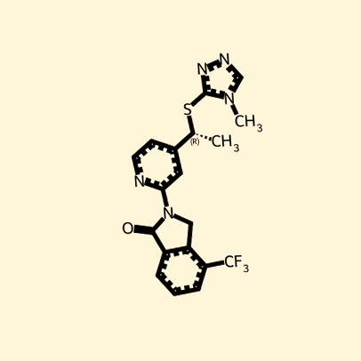 C[C@@H](Sc1nncn1C)c1ccnc(N2Cc3c(cccc3C(F)(F)F)C2=O)c1